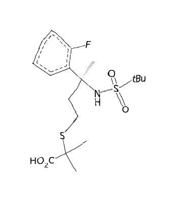 CC(C)(SCC[C@](C)(NS(=O)(=O)C(C)(C)C)c1ccccc1F)C(=O)O